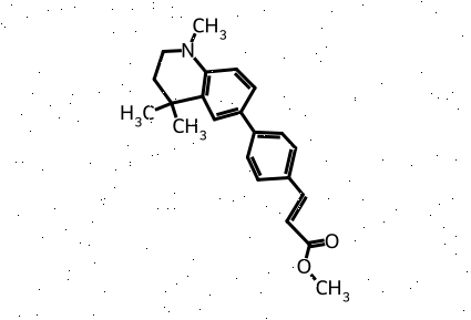 COC(=O)C=Cc1ccc(-c2ccc3c(c2)C(C)(C)CCN3C)cc1